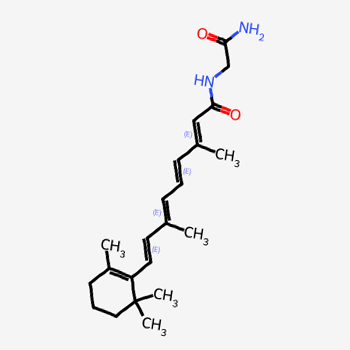 CC1=C(/C=C/C(C)=C/C=C/C(C)=C/C(=O)NCC(N)=O)C(C)(C)CCC1